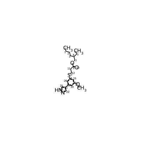 CCCCC(CC)COC(=O)CCSc1cc(OC)cc(-c2cn[nH]c2)c1